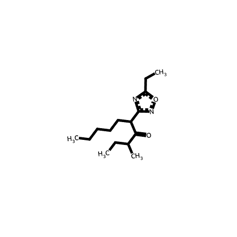 CCCCCC(C(=O)C(C)CC)c1noc(CC)n1